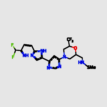 CSNCC1CN(c2cc(-c3cnc(/C=C\C(=N)C(F)F)[nH]3)ncn2)CC(C(F)(F)F)O1